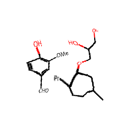 CC1CCC(C(C)C)C(OCC(O)CO)C1.COc1cc(C=O)ccc1O